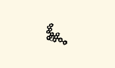 c1ccc(-c2ccc(-c3c4ccccc4c(-c4ccc(-c5cccc6c5ccc5c7ccccc7ccc65)c5c4oc4ccccc45)c4ccccc34)cc2)cc1